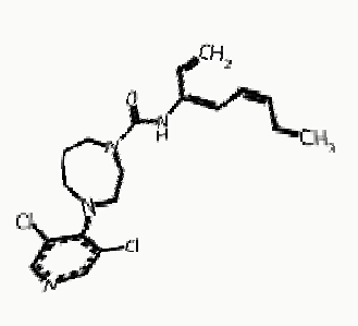 C=C/C(=C\C=C/CC)NC(=O)N1CCCN(c2c(Cl)cncc2Cl)CC1